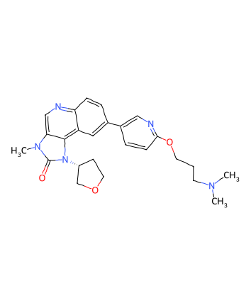 CN(C)CCCOc1ccc(-c2ccc3ncc4c(c3c2)n([C@@H]2CCOC2)c(=O)n4C)cn1